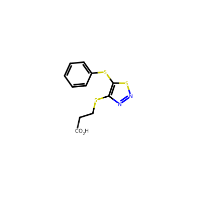 O=C(O)CCSc1nnsc1Sc1ccccc1